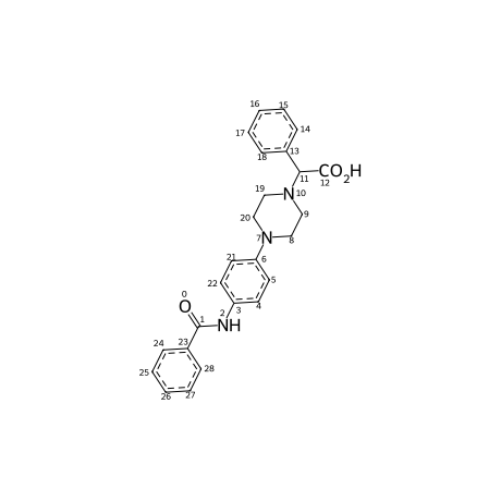 O=C(Nc1ccc(N2CCN(C(C(=O)O)c3ccccc3)CC2)cc1)c1ccccc1